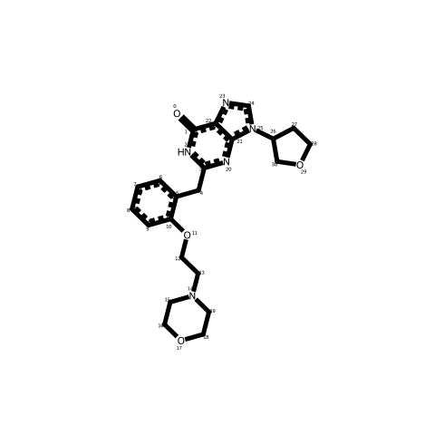 O=c1[nH]c(Cc2ccccc2OCCN2CCOCC2)nc2c1ncn2C1CCOC1